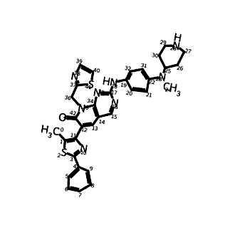 Cc1sc(-c2ccccc2)nc1-c1cc2cnc(Nc3ccc(N(C)C4CCNCC4)cc3)nc2n(Cc2nccs2)c1=O